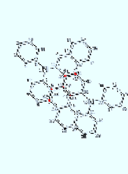 c1ccc(N(c2ccccc2)c2cc3ccccc3cc2-c2ccc3ccc4cccc(N(c5ccccc5)c5ccccc5)c4c3c2)cc1